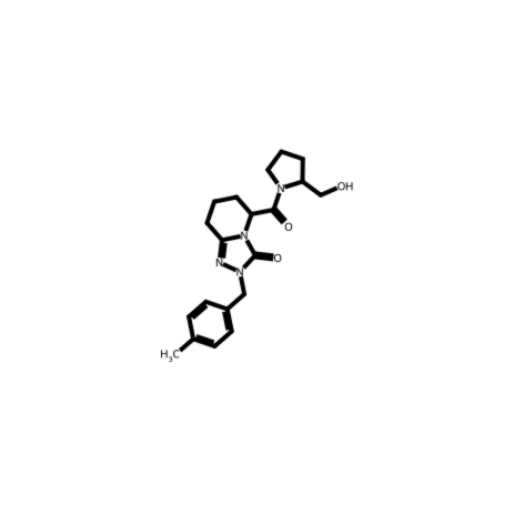 Cc1ccc(Cn2nc3n(c2=O)C(C(=O)N2CCCC2CO)CCC3)cc1